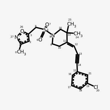 Cc1cc(CS(=O)(=O)N2CC/C(=C\C#Cc3cccc(Cl)c3)C(C)(C)C2)on1